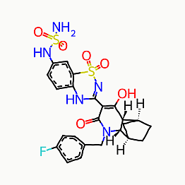 NS(=O)(=O)Nc1ccc2c(c1)S(=O)(=O)N=C(C1=C(O)[C@@H]3[C@H]4CC[C@H](C4)[C@@H]3N(Cc3ccc(F)cc3)C1=O)N2